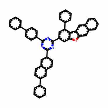 c1ccc(-c2ccc(-c3nc(-c4ccc5cc(-c6ccccc6)ccc5c4)nc(-c4cc(-c5ccccc5)c5c(c4)oc4cc6ccccc6cc45)n3)cc2)cc1